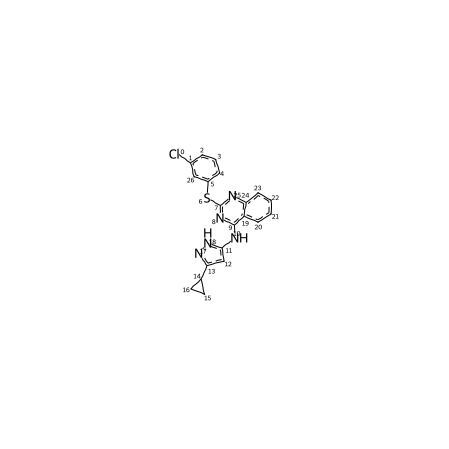 Clc1cccc(Sc2nc(Nc3cc(C4CC4)n[nH]3)c3ccccc3n2)c1